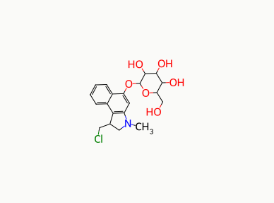 CN1CC(CCl)c2c1cc(OC1OC(CO)C(O)C(O)C1O)c1ccccc21